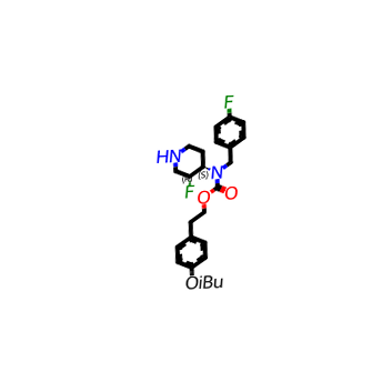 CC(C)COc1ccc(CCOC(=O)N(Cc2ccc(F)cc2)[C@H]2CCNC[C@H]2F)cc1